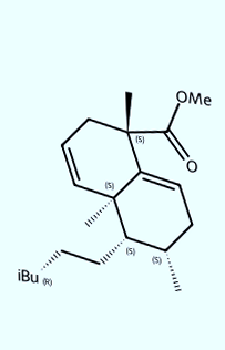 CC[C@@H](C)CC[C@H]1[C@@H](C)CC=C2[C@@](C)(C(=O)OC)CC=C[C@@]21C